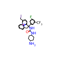 N[C@H]1CC[C@H](NC(=O)N[C@@](Cc2ccccc2)(c2cc(F)cc(C(F)(F)F)c2)c2ccc(CI)cn2)CC1